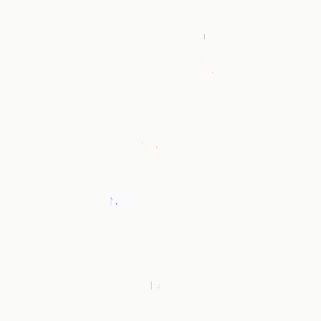 CC(C)OCCOc1ccc(Br)cn1